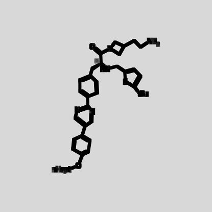 CCCCCCCOc1ccc(-c2cnc(-c3ccc(C[C@H](NCc4ccc(C(C)(C)C)s4)C(=O)N4CC(CCN)C4)cc3)nc2)cc1